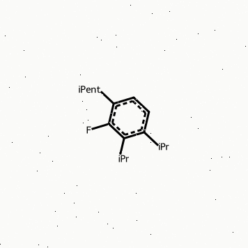 CCCC(C)c1ccc(C(C)C)c(C(C)C)c1F